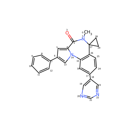 CN1C(=O)c2cc(-c3ccccc3)cn2-c2cc(-c3cncnc3)ccc2C12CC2